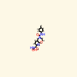 Cc1ccc(NC(=O)N2CCOc3nc(C(=O)NO)ccc3C2)cc1